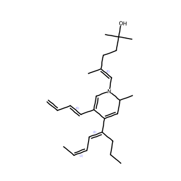 C=C/C=C/C1=CN(/C=C(\C)CCC(C)(C)O)C(C)C=C1/C(=C/C=C\C)CCC